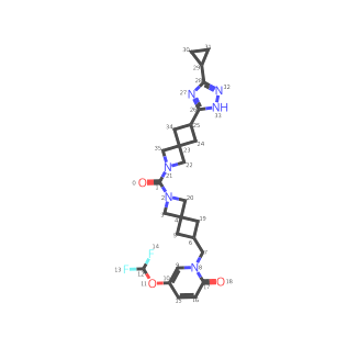 O=C(N1CC2(CC(Cn3cc(OC(F)F)ccc3=O)C2)C1)N1CC2(CC(c3nc(C4CC4)n[nH]3)C2)C1